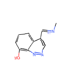 C/N=C/c1cnnc2c(O)cccc12